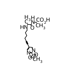 C[C@H](NC(=O)[C@H](C)NCCCCC#Cc1cnc(S(C)(=O)=O)nc1)C(=O)O